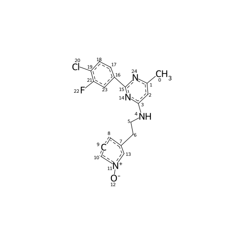 Cc1cc(NCCc2ccc[n+]([O-])c2)nc(-c2ccc(Cl)c(F)c2)n1